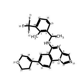 Cc1c(C(C)Nc2nc3cncn3c3ccc(C4=CCOCC4)cc23)cccc1C(F)(F)F